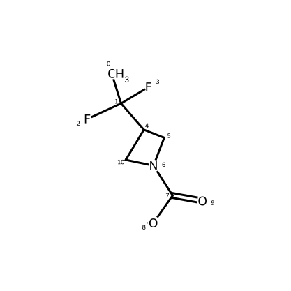 CC(F)(F)C1CN(C([O])=O)C1